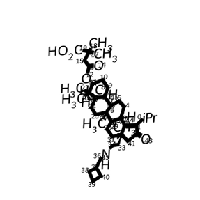 CC(C)C1=C2[C@H]3CC[C@@H]4[C@@]5(C)CC[C@H](OC(=O)CC(C)(C)C(=O)O)C(C)(C)[C@@H]5CC[C@@]4(C)[C@]3(C)CC[C@@]2(CCNCC2CCC2)CC1=O